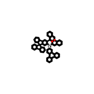 c1ccc2c(c1)-c1ccccc1C21c2ccccc2-c2cc(-c3cccc4ccccc34)c(N(c3ccc4ccccc4c3)c3ccc4c5ccccc5c5ccccc5c4c3)cc21